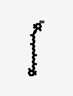 CC1=C(C#C/C(C)=C/C=C/C(C)=C/C=C/C=C(C)/C=C/C=C(C)/C=C/C2=C(C)CCCC2(C)C)C(C)(C)C[C@H](O)C1